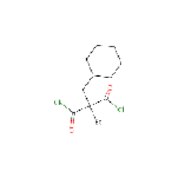 CCC(CC1CCCCC1)(C(=O)Cl)C(=O)Cl